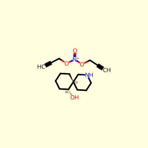 C#CCO[N+](=O)OCC#C.O[C@@H]1CCCC[C@@]12CCCNC2